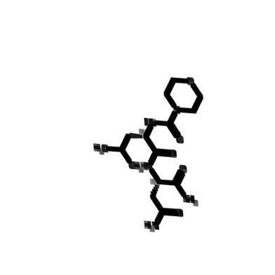 CC(C)C[C@H](NC(=O)N1CCOCC1)C(=O)N[C@@H](CC(N)=O)C(N)=O